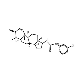 CN1C(=O)C=C[C@]2(C)[C@H]3CC[C@]4(C)[C@@H](NC(=O)Nc5cccc(Cl)c5)CC[C@H]4[C@@H]3CC[C@@H]12